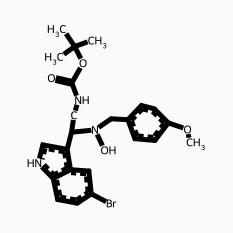 COc1ccc(CN(O)C(CNC(=O)OC(C)(C)C)c2c[nH]c3ccc(Br)cc23)cc1